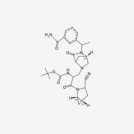 CC(c1cccc(C(N)=O)c1)N1C(=O)C2C[C@H]1CN2CC(NC(=O)OC(C)(C)C)C(=O)N1C(C#N)C[C@@H]2C[C@@H]21